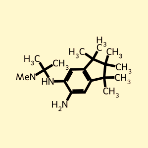 CNC(C)(C)Nc1cc2c(cc1N)C(C)(C)C(C)(C)C2(C)C